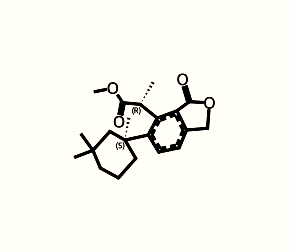 COC(=O)[C@H](C)c1c([C@@]2(C)CCCC(C)(C)C2)ccc2c1C(=O)OC2